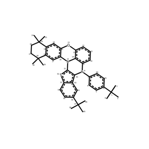 CC(C)(C)c1ccc(N2c3cccc4c3B(c3cc5c(cc3O4)C(C)(C)CCC5(C)C)c3sc4ccc(C(C)(C)C)cc4c32)cc1